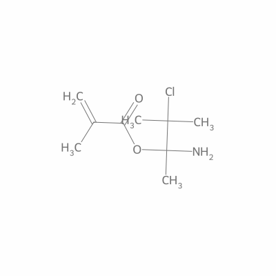 C=C(C)C(=O)OC(C)(N)C(C)(C)Cl